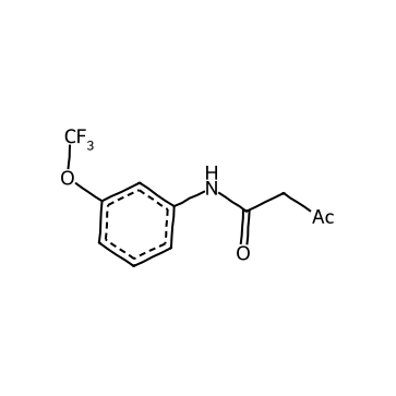 CC(=O)CC(=O)Nc1cccc(OC(F)(F)F)c1